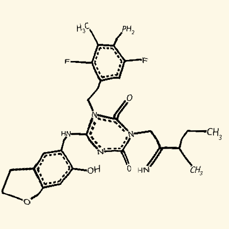 CCC(C)C(=N)Cn1c(=O)nc(Nc2cc3c(cc2O)OCC3)n(Cc2cc(F)c(P)c(C)c2F)c1=O